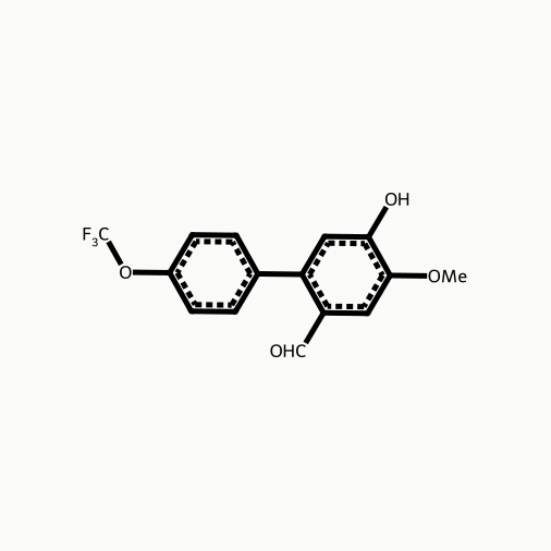 COc1cc(C=O)c(-c2ccc(OC(F)(F)F)cc2)cc1O